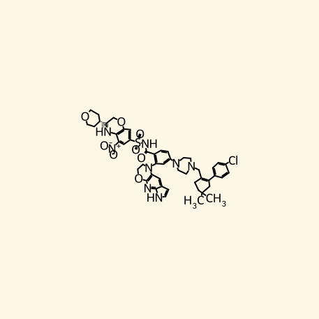 CC1(C)CCC(CN2CCN(c3ccc(C(=O)NS(=O)(=O)c4cc5c(c([N+](=O)[O-])c4)N[C@H](C4CCOCC4)CO5)c(N4CCOc5nc6[nH]ccc6cc54)c3)CC2)=C(c2ccc(Cl)cc2)C1